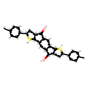 Cc1ccc(-c2cc3c(=O)c4cc5c(cc4c3s2)c(=O)c2cc(-c3ccc(C)cc3)sc25)cc1